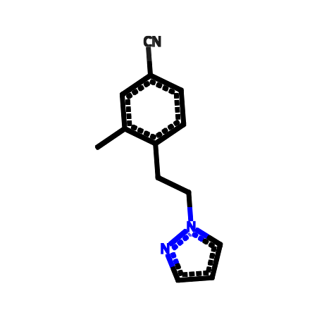 Cc1cc(C#N)ccc1CCn1cccn1